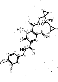 Cn1c(C(=N)OCC2(S(=O)(=O)C3CC3)CC2)c(C=N)cc(C(=O)NCc2ccc(Cl)c(F)c2)c1=O